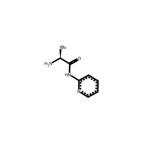 CC(C)(C)[C@H](N)C(=O)Nc1ccccn1